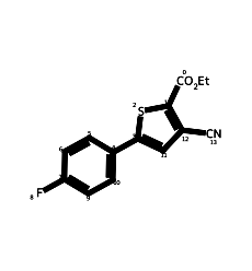 CCOC(=O)c1sc(-c2ccc(F)cc2)cc1C#N